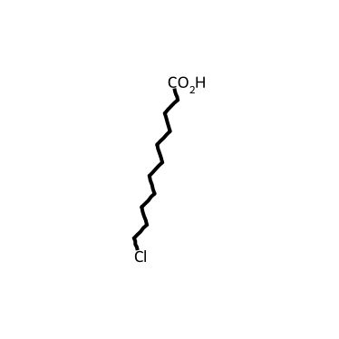 O=C(O)CCCCCCCCCCCl